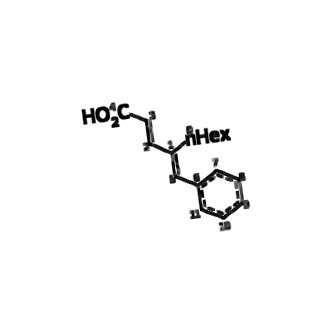 CCCCCC/C(C=CC(=O)O)=C\c1ccccc1